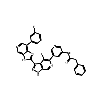 O=C(Cc1ccccc1)Nc1cncc(-c2ncc3[nH]nc(-c4nc5c(-c6cccc(F)c6)cncc5[nH]4)c3c2F)c1